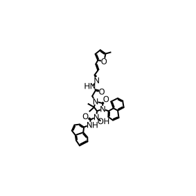 Cc1ccc(C=C/C=N/NC(=O)CN2C(=O)N(c3cccc4ccccc34)C(N(O)C(=O)Nc3cccc4ccccc34)C2(C)C)o1